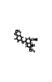 COc1ccc(Oc2ccc(C#N)c3[nH]c(C)cc23)cc1